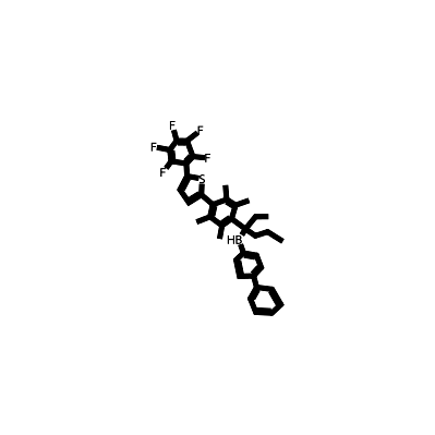 CCCC(Bc1ccc(-c2ccccc2)cc1)(CC)c1c(C)c(C)c(-c2ccc(-c3c(F)c(F)c(F)c(F)c3F)s2)c(C)c1C